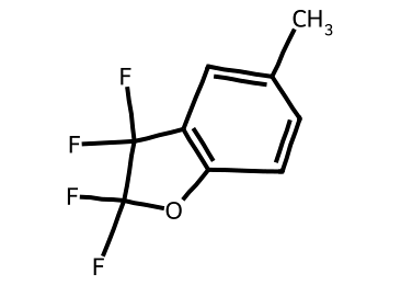 Cc1ccc2c(c1)C(F)(F)C(F)(F)O2